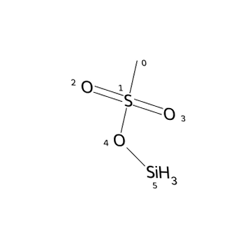 CS(=O)(=O)O[SiH3]